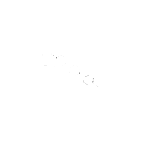 CCCCCCCC[C@H]1CO[C@H](C2CCC(c3ccc(F)cc3)CC2)O[C@@H]1C